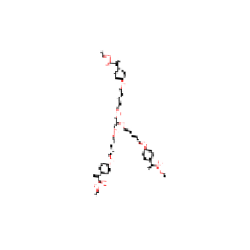 C=C(C(=O)OCC)c1ccc(OCCCCCOCC(COCCCCCOc2ccc(C(=C)C(=O)OCC)cc2)OCCCCCOc2ccc(C(=C)C(=O)OCC)cc2)cc1